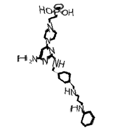 Nc1cc(N2CCN(CCP(=O)(O)O)CC2)nc(NC[C@H]2CC[C@H](CNCCCNC3CCCCC3)CC2)n1